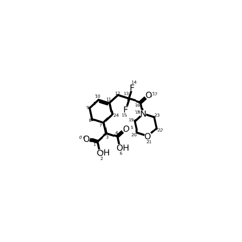 O=C(O)C(C(=O)O)C1CCC=C(CC(F)(F)C(=O)N2CCOCC2)C1